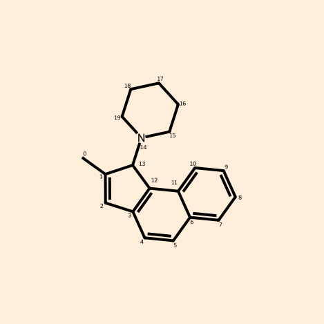 CC1=Cc2ccc3ccccc3c2C1N1CCCCC1